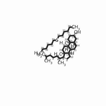 CC(C)CCC[C@@H](C)[C@H]1CC[C@H]2[C@@H]3CC=C4C[C@@H](O)CC[C@]4(C)[C@H]3CC[C@]12C.CCCCCCSCCCCCC